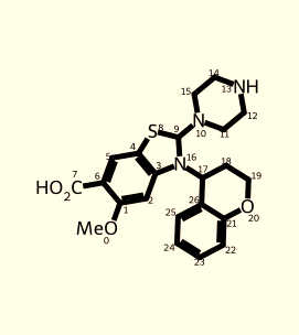 COc1cc2c(cc1C(=O)O)SC(N1CCNCC1)N2C1CCOc2ccccc21